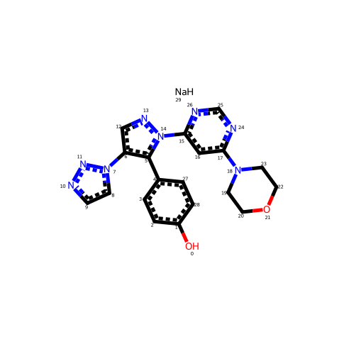 Oc1ccc(-c2c(-n3ccnn3)cnn2-c2cc(N3CCOCC3)ncn2)cc1.[NaH]